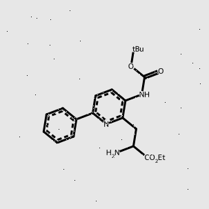 CCOC(=O)C(N)Cc1nc(-c2ccccc2)ccc1NC(=O)OC(C)(C)C